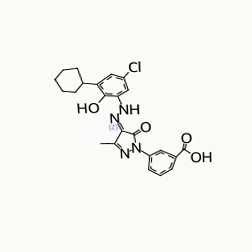 CC1=NN(c2cccc(C(=O)O)c2)C(=O)/C1=N\Nc1cc(Cl)cc(C2CCCCC2)c1O